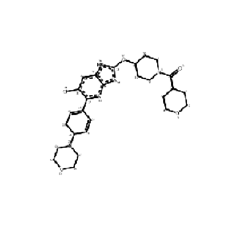 O=C(C1CCOCC1)N1CCC(Oc2nc3nc(C4=CCC(N5CCOCC5)C=C4)c(Cl)cc3[nH]2)CC1